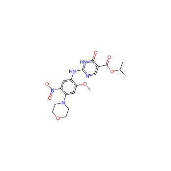 COc1cc(N2CCOCC2)c([N+](=O)[O-])cc1Nc1ncc(C(=O)OC(C)C)c(=O)[nH]1